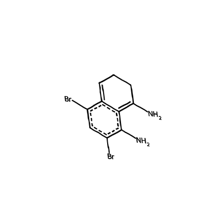 NC1=c2c(N)c(Br)cc(Br)c2=CCC1